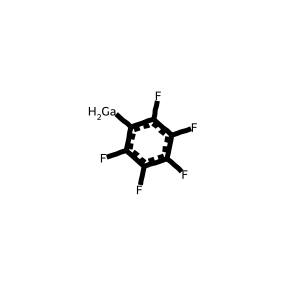 Fc1c(F)c(F)[c]([GaH2])c(F)c1F